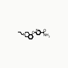 CCCN1CCc2c(cccc2Oc2ccc(C(N)=O)cn2)C1